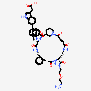 NCCOCCNC(=O)[C@@H]1CCNC(=O)/C=C/C(=O)N2CCC[C@](Cc3ccccc3)(C2)C(=O)N[C@@H](Cc2ccc(-c3ccc4c(CC(=O)O)c[nH]c4c3)cc2)C(=O)NCc2ccccc2CC(=O)N1